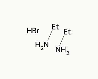 Br.CCN.CCN